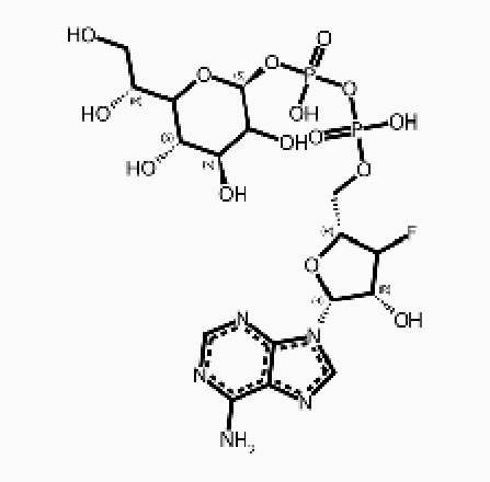 Nc1ncnc2c1ncn2[C@@H]1O[C@H](COP(=O)(O)OP(=O)(O)O[C@@H]2OC([C@H](O)CO)[C@@H](O)[C@H](O)C2O)C(F)[C@@H]1O